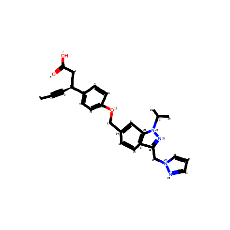 CC#C[C@@H](CC(=O)O)c1ccc(OCc2ccc3c(Cn4cccn4)nn(C(C)C)c3c2)cc1